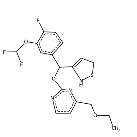 CCOCc1ccnc(OC(C2=CCSN2)c2ccc(F)c(OC(F)F)c2)n1